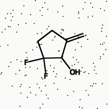 C=C1CCC(F)(F)C1O